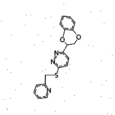 c1ccc(CSc2ccc(C3COc4ccccc4O3)nn2)nc1